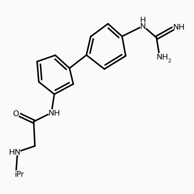 CC(C)NCC(=O)Nc1cccc(-c2ccc(NC(=N)N)cc2)c1